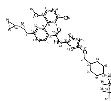 COc1cnc(Cl)cc1-c1cc(COC2CC2)ncc1C(=O)Nc1nnc(OCC2CCC(O[Si](C)(C)C(C)(C)C)CC2)s1